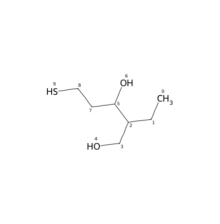 CCC(CO)C(O)CCS